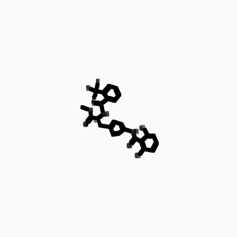 COC(=O)[C@H](Cc1ccc(NC(=O)c2c(Cl)cccc2Cl)cc1)NC(=S)c1ccccc1C(F)(F)F